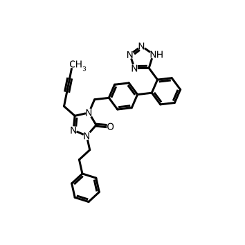 CC#CCc1nn(CCc2ccccc2)c(=O)n1Cc1ccc(-c2ccccc2-c2nnn[nH]2)cc1